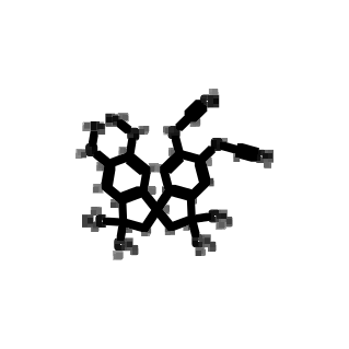 C#COc1cc2c(cc1OC#C)C1(CC2(C)C)CC(C)(C)c2cc(OCC)c(OCC)cc21